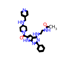 CC(=O)NCCNc1nc(-c2ccccc2)nc2[nH]c(C(=O)N3CCC(NCc4ccncc4)CC3)cc12